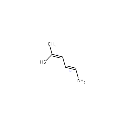 C/C(S)=C/C=C/N